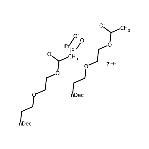 CC(C)[O-].CC(C)[O-].CCCCCCCCCCCCOCCOC(C)[O-].CCCCCCCCCCCCOCCOC(C)[O-].[Zr+4]